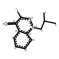 CC(C)Cn1nc(I)c(=O)c2ccccc21